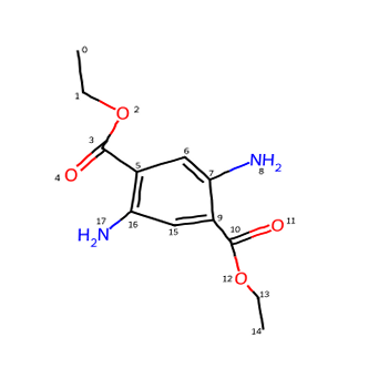 CCOC(=O)c1cc(N)c(C(=O)OCC)cc1N